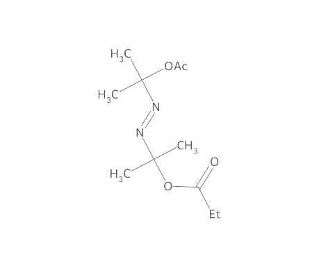 CCC(=O)OC(C)(C)N=NC(C)(C)OC(C)=O